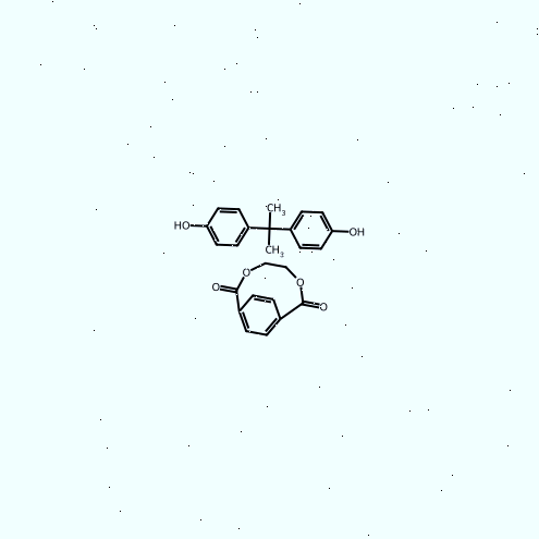 CC(C)(c1ccc(O)cc1)c1ccc(O)cc1.O=C1OCCOC(=O)c2ccc1cc2